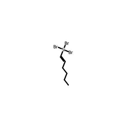 CCCCC=C[Si](Br)(Br)Br